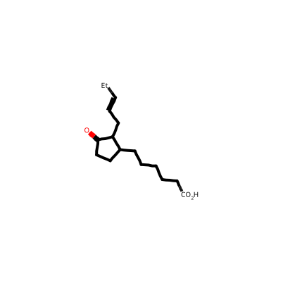 CC/C=C/CC1C(=O)CCC1CCCCCC(=O)O